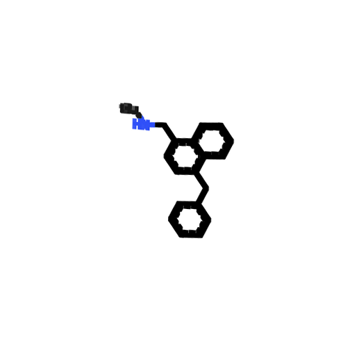 CC(C)(C)NCc1ccc(Cc2ccccc2)c2ccccc12